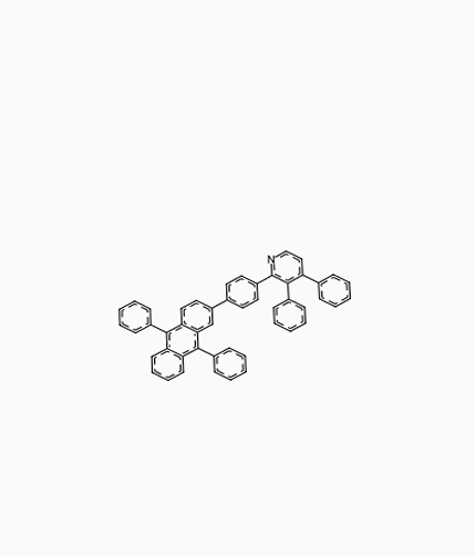 c1ccc(-c2ccnc(-c3ccc(-c4ccc5c(-c6ccccc6)c6ccccc6c(-c6ccccc6)c5c4)cc3)c2-c2ccccc2)cc1